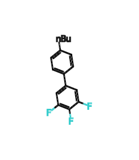 CCCCc1ccc(-c2cc(F)c(F)c(F)c2)cc1